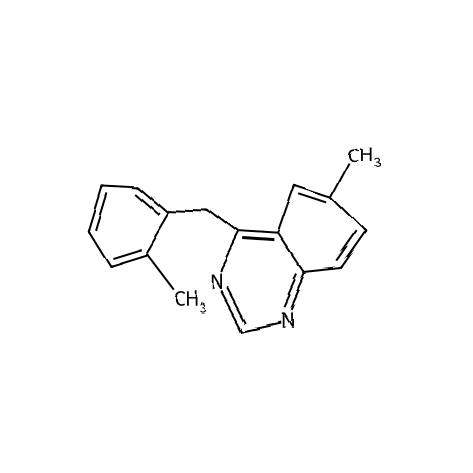 Cc1ccc2ncnc(Cc3ccccc3C)c2c1